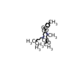 CC(C)=CCC/C(C)=C\CC(/C=C(/C)CCC=C(C)C)OS(=O)(=O)c1ccc(C)cc1